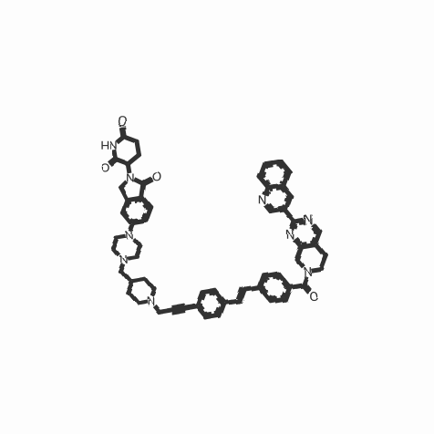 O=C1CCC(N2Cc3cc(N4CCN(CC5CCN(CC#Cc6ccc(/C=C/c7ccc(C(=O)N8CCc9cnc(-c%10cnc%11ccccc%11c%10)nc9C8)cc7)cc6)CC5)CC4)ccc3C2=O)C(=O)N1